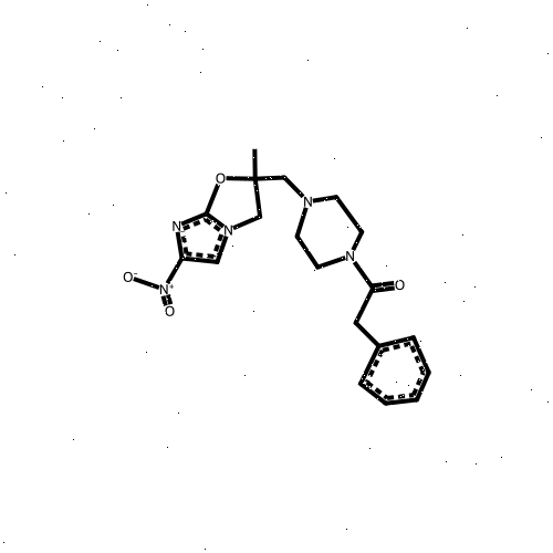 CC1(CN2CCN(C(=O)Cc3ccccc3)CC2)Cn2cc([N+](=O)[O-])nc2O1